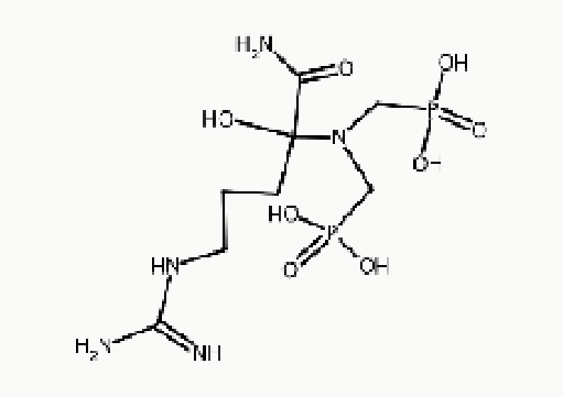 N=C(N)NCCCC(O)(C(N)=O)N(CP(=O)(O)O)CP(=O)(O)O